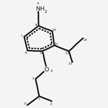 CC(C)COc1ccc(N)cc1C(C)C